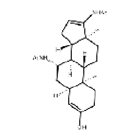 CC(=O)NC1=CC[C@H]2[C@@H]3[C@@H](NC(C)=O)C[C@@H]4C=C(O)CC[C@]4(C)[C@H]3CC[C@]12C